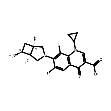 N[C@H]1C[C@H]2CN(c3c(F)cc4c(=O)c(C(=O)O)cn(C5CC5)c4c3F)C[C@H]21